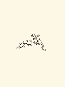 C[S+]([O-])NC1CC/C(=N/C=N)NC1CO[C@H]1CC[C@@H](c2ccccc2)CC1